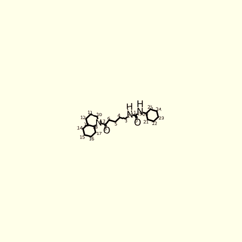 O=C(NCCCCC(=O)N1CCCC2CCCCC21)NC1CCCCC1